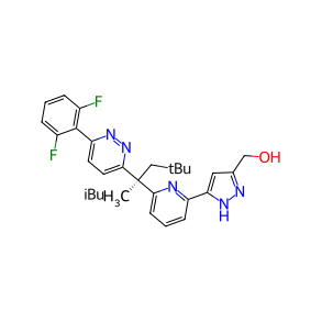 CC[C@H](C)c1cc(-c2c(F)cccc2F)nnc1[C@@](C)(CC(C)(C)C)c1cccc(-c2cc(CO)n[nH]2)n1